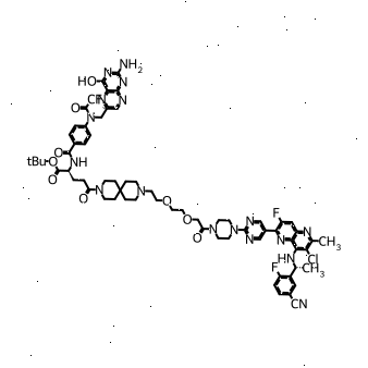 Cc1nc2cc(F)c(-c3cnc(N4CCN(C(=O)COCCOCCN5CCC6(CC5)CCN(C(=O)CC[C@H](NC(=O)c5ccc(N(Cc7cnc8nc(N)nc(O)c8n7)C(=O)C(F)(F)F)cc5)C(=O)OC(C)(C)C)CC6)CC4)nc3)nc2c(N[C@H](C)c2cc(C#N)ccc2F)c1Cl